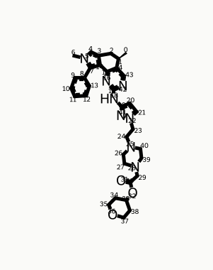 C[C@@H]1Cc2cn(C)c(-c3ccccc3)c2-c2nc(Nc3ccn(CCN4CCN(CC(=O)OC5CCOCC5)CC4)n3)ncc21